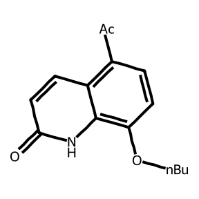 CCCCOc1ccc(C(C)=O)c2ccc(=O)[nH]c12